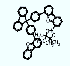 CC1(C)OB(c2cccc3c2oc2c(-c4ccc(C5(c6ccc(-c7cccc8c7oc7ccccc78)cc6)c6ccccc6-c6ccccc65)cc4)cccc23)OC1(C)C